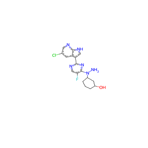 NN(c1nc(-c2c[nH]c3ncc(Cl)cc23)ncc1F)C1CCCC(O)C1